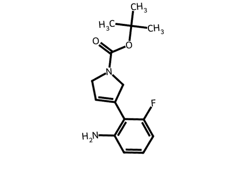 CC(C)(C)OC(=O)N1CC=C(c2c(N)cccc2F)C1